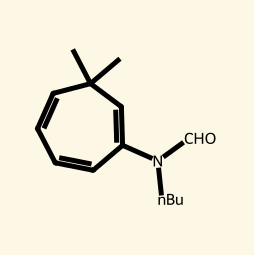 CCCCN(C=O)C1=CC(C)(C)C=CC=C1